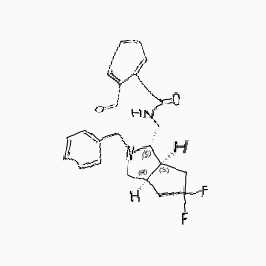 O=Cc1ccccc1C(=O)NC[C@@H]1[C@H]2CC(F)(F)C[C@H]2CN1Cc1ccccc1